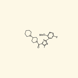 COc1ccc(F)cc1-c1nc(C)c(C(=O)N2CCC(N3CCCCC3)CC2)s1